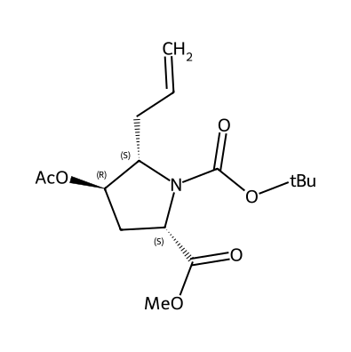 C=CC[C@H]1[C@H](OC(C)=O)C[C@@H](C(=O)OC)N1C(=O)OC(C)(C)C